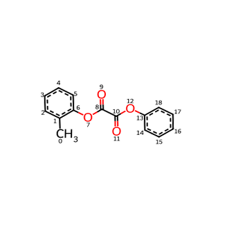 Cc1ccccc1OC(=O)C(=O)Oc1ccccc1